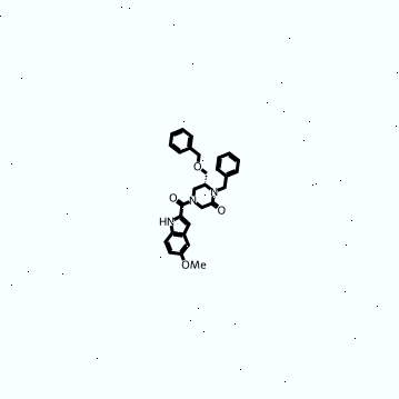 COc1ccc2[nH]c(C(=O)N3CC(=O)N(Cc4ccccc4)[C@@H](COCc4ccccc4)C3)cc2c1